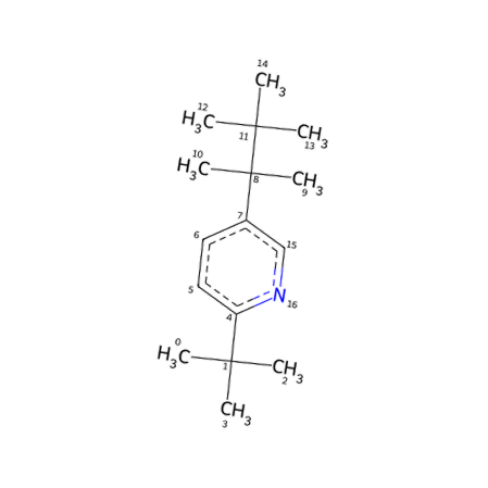 CC(C)(C)c1ccc(C(C)(C)C(C)(C)C)cn1